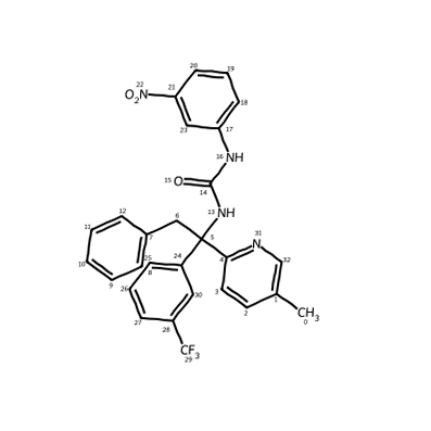 Cc1ccc(C(Cc2ccccc2)(NC(=O)Nc2cccc([N+](=O)[O-])c2)c2cccc(C(F)(F)F)c2)nc1